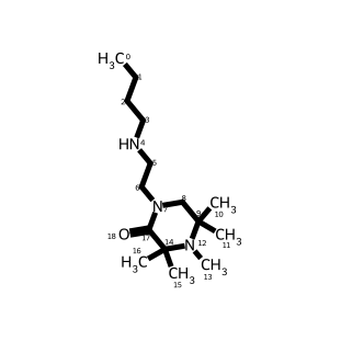 CCCCNCCN1CC(C)(C)N(C)C(C)(C)C1=O